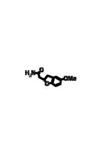 COc1ccc2c(c1)CC(CC(N)=O)O2